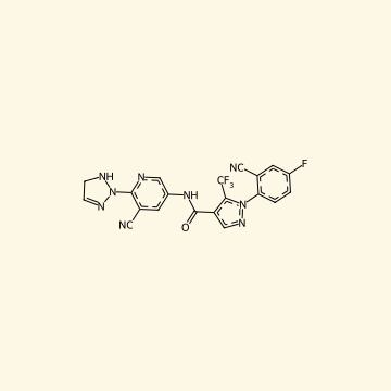 N#Cc1cc(F)ccc1-n1ncc(C(=O)Nc2cnc(N3N=CCN3)c(C#N)c2)c1C(F)(F)F